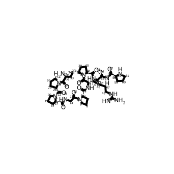 CC(C)C[C@H](NC(=O)[C@@H]1CCCN1C(=O)CNC(=O)[C@@H]1CCCN1C(=O)[C@@H]1CCCN1C(=O)[C@@H](N)CC(C)C)C(=O)N1CCC[C@H]1C(=O)N[C@@H](CCCNC(=N)N)C(=O)NC(=O)[C@@H]1CCCN1